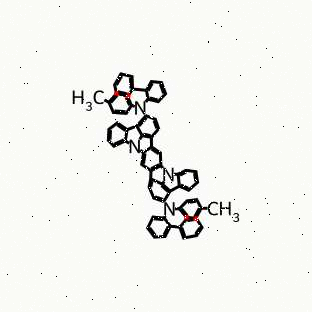 Cc1ccc(N(c2ccccc2-c2ccccc2)c2ccc3c4cc5c(cc4n4c6ccccc6c2c34)c2ccc(N(c3ccc(C)cc3)c3ccccc3-c3ccccc3)c3c4ccccc4n5c23)cc1